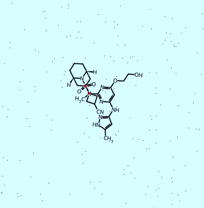 Cc1cc(Nc2cc(OCCO)nc(N(C)[C@@H]3C[C@H]4CCC[C@@H](C3)N4S(=O)(=O)N3CC(C#N)C3)n2)n[nH]1